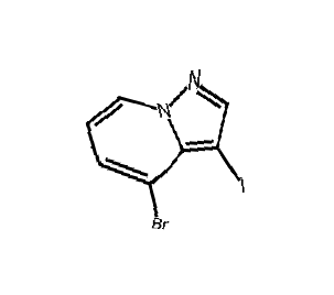 Brc1cccn2ncc(I)c12